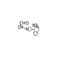 O=Cc1cccn1CCN1CCC(=C2c3ccccc3CCn3ccnc32)CC1